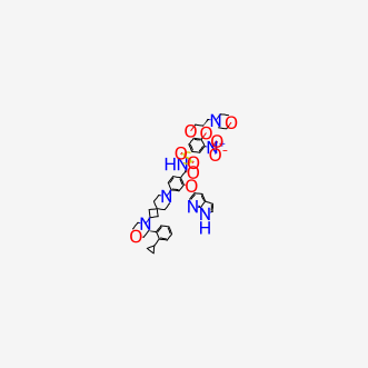 O=C(NS(=O)(=O)c1cc2c(c([N+](=O)[O-])c1)O[C@H](CN1CCOCC1)CO2)c1ccc(N2CCC3(CC2)CC(N2CCOC[C@@H]2c2ccccc2C2CC2)C3)cc1Oc1cnc2[nH]ccc2c1